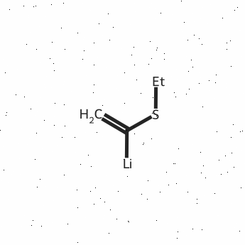 [Li][C](=C)SCC